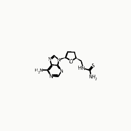 NC(=S)NC[C@@H]1CC[C@H](n2cnc3c(N)ncnc32)O1